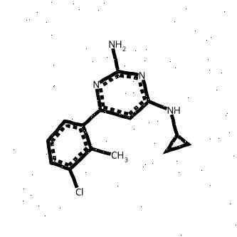 Cc1c(Cl)cccc1-c1cc(NC2CC2)nc(N)n1